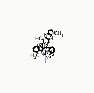 C/C1=C(c2c(C)cccc2C)/N=C(\N)NSc2cccc(c2)C1N(CCO)Cc1cnc2ccn(C)c2n1